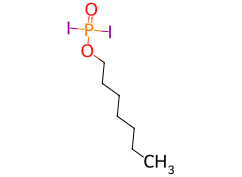 CCCCCCCOP(=O)(I)I